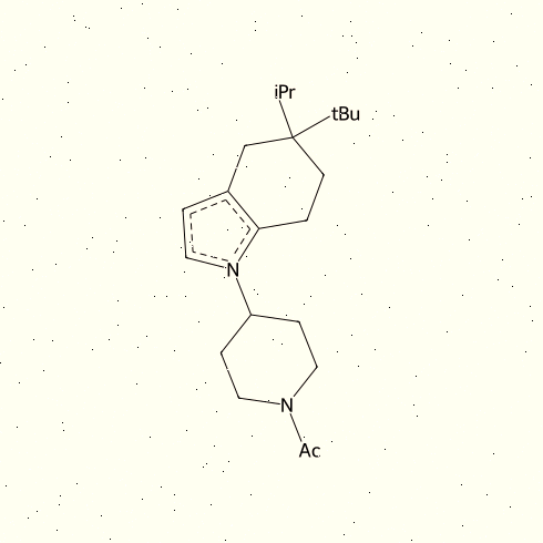 CC(=O)N1CCC(n2ccc3c2CCC(C(C)C)(C(C)(C)C)C3)CC1